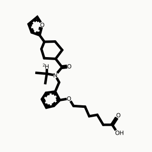 [2H]C(C)(C)N(Cc1ccccc1OCCCCCC(=O)O)C(=O)C1CCC(c2ccco2)CC1